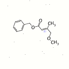 COC/C(C)=C/C(=O)OCc1ccccc1